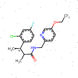 CC(C(=O)NCc1ccc(OCC(F)(F)F)cn1)[C@@H](C)c1ccc(F)cc1Cl